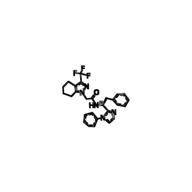 O=C(Cn1nc(C(F)(F)F)c2c1CCCC2)N[C@@H](Cc1ccccc1)c1nccn1-c1ccccc1